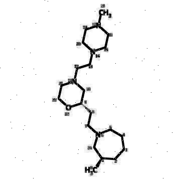 C[C@@H]1CCCCN(CC[C@H]2CN(CCN3CCN(C)CC3)CCO2)C1